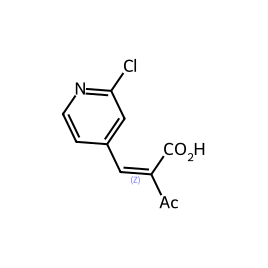 CC(=O)/C(=C/c1ccnc(Cl)c1)C(=O)O